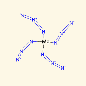 [N-]=[N+]=[N][Mo]([N]=[N+]=[N-])([N]=[N+]=[N-])[N]=[N+]=[N-]